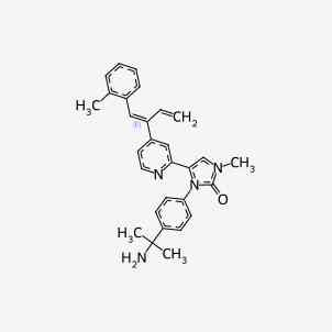 C=C/C(=C\c1ccccc1C)c1ccnc(-c2cn(C)c(=O)n2-c2ccc(C(C)(C)N)cc2)c1